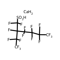 O=S(=O)(O)C(F)(F)C(F)(C(F)(F)C(F)(F)F)C(F)(F)C(F)(F)C(F)(F)C(F)(F)F.[CaH2]